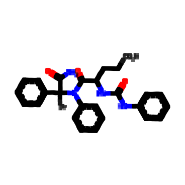 CC(C)C(C(N)=O)(c1ccccc1)N(C(=O)C(CCC(=O)O)NC(=O)Nc1ccccc1)c1ccccc1